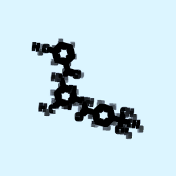 Cc1cccc(C(=O)Nc2cc(C)nc(NC(=O)c3ccc(C(C)(C)C)cc3)n2)c1